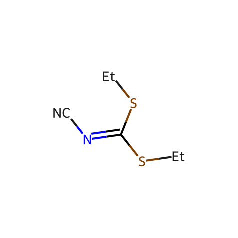 CCSC(=NC#N)SCC